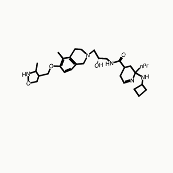 CCCC1(NC2CCC2)CC(C(=O)NC[C@H](O)CN2CCc3c(ccc(OCC4CONC4C)c3C)C2)CC=N1